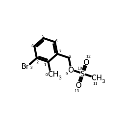 Cc1c(Br)cccc1COS(C)(=O)=O